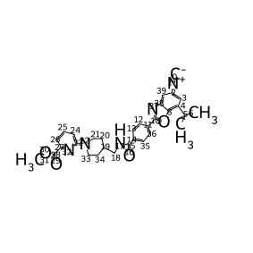 [C-]#[N+]c1cc(C(C)C)c2oc(-c3ccc(C(=O)NCC4CCN(c5cccc(C(=O)OC)n5)CC4)cc3)nc2c1